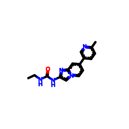 CCNC(=O)Nc1cn2ccc(-c3ccc(C)nc3)cc2n1